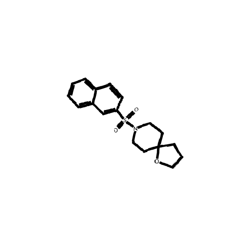 O=S(=O)(c1ccc2ccccc2c1)N1CCC2(CCCO2)CC1